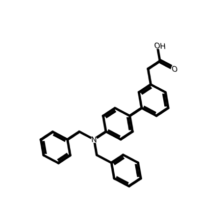 O=C(O)Cc1cccc(-c2ccc(N(Cc3ccccc3)Cc3ccccc3)cc2)c1